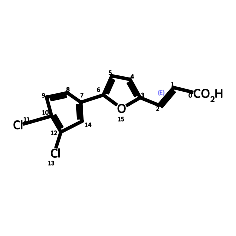 O=C(O)/C=C/c1ccc(-c2ccc(Cl)c(Cl)c2)o1